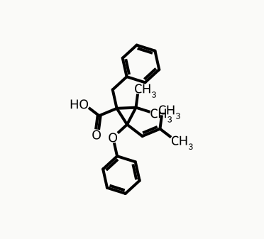 CC(C)=CC1(Oc2ccccc2)C(C)(C)C1(Cc1ccccc1)C(=O)O